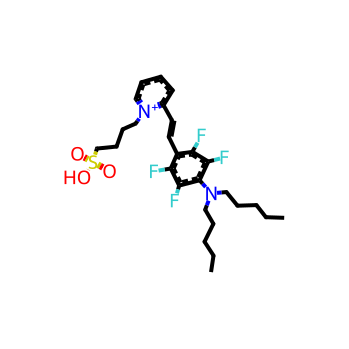 CCCCCN(CCCCC)c1c(F)c(F)c(C=Cc2cccc[n+]2CCCCS(=O)(=O)O)c(F)c1F